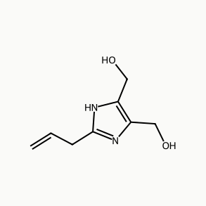 C=CCc1nc(CO)c(CO)[nH]1